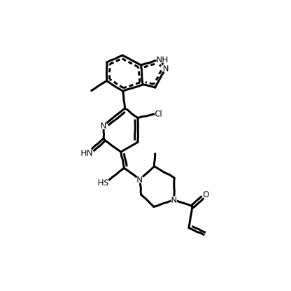 C=CC(=O)N1CCN(/C(S)=C2\C=C(Cl)C(c3c(C)ccc4[nH]ncc34)=NC2=N)C(C)C1